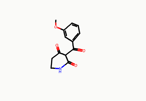 COc1cccc(C(=O)C2C(=O)CCNC2=O)c1